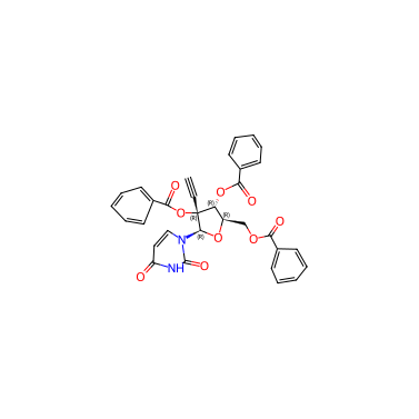 C#C[C@@]1(OC(=O)c2ccccc2)[C@H](OC(=O)c2ccccc2)[C@@H](COC(=O)c2ccccc2)O[C@H]1n1ccc(=O)[nH]c1=O